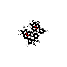 Cc1ccc(N2c3ccc(C(C)(C)C)cc3B3c4cc(C(C)(C)C)ccc4N(c4ccc(C)cc4-c4ccc(C(C)(C)C)cc4)c4c(C(C)(C)C)ccc2c43)c(-c2ccc(C(C)(C)C)cc2)c1